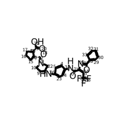 O=C(Nc1ccc(N[C@H]2CCN(C(=O)[C@@H]3CCC[C@H]3C(=O)O)C2)cc1)c1nc(-c2ccccc2)oc1C(F)(F)F